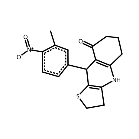 Cc1cc(C2C3=C(CCS3)NC3=C2C(=O)CCC3)ccc1[N+](=O)[O-]